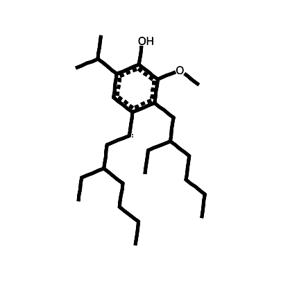 CCCCC(CC)C[C]c1cc(C(C)C)c(O)c(OC)c1CC(CC)CCCC